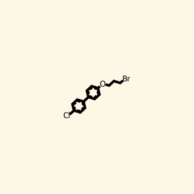 Clc1ccc(-c2ccc(OCCCBr)cc2)cc1